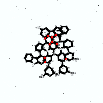 CC(C)(C)c1cc(-c2ccc3c(c2)B2c4cc(-c5cc(C(C)(C)C)cc(C(C)(C)C)c5)ccc4N(c4c(-c5cc(C(C)(C)C)cc(C(C)(C)C)c5)cccc4-c4cccc5oc6ccccc6c45)c4cc(-n5c6ccccc6c6cc(C(C)(C)C)ccc65)cc(c42)N3c2c(-c3cc(C(C)(C)C)cc(C(C)(C)C)c3)cccc2-c2cccc3oc4ccccc4c23)cc(C(C)(C)C)c1